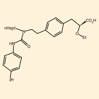 CCCCCCCN(CCc1ccc(C[C@H](OCC)C(=O)O)cc1)C(=O)Nc1ccc(C(C)C)cc1